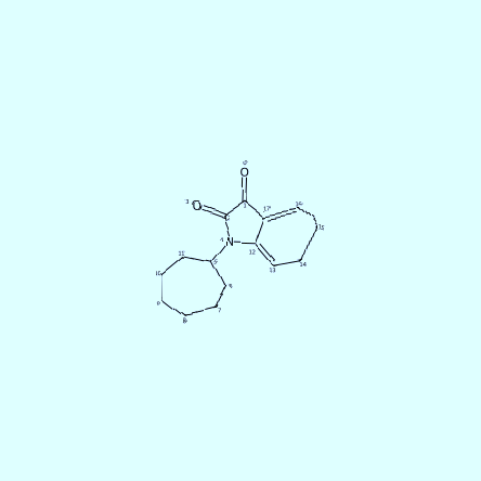 O=C1C(=O)N(C2CCCCCC2)C2=CCCC=C12